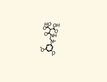 COc1cc(OC)cc(N(C)CNC(=O)C(C(=O)O)C(=O)O)c1